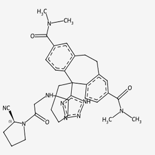 CN(C)C(=O)c1ccc2c(c1)CCc1cc(C(=O)N(C)C)ccc1C2(CC1(NCC(=O)N2CCC[C@H]2C#N)CCCC1)c1nnn[nH]1